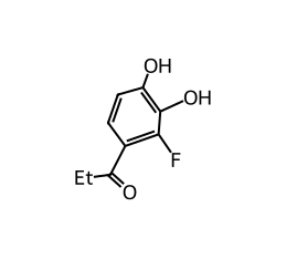 CCC(=O)c1ccc(O)c(O)c1F